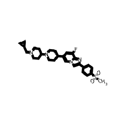 CS(=O)(=O)c1ccc(-c2cn3cc(C4CCN(C5CCN(CC6CC6)CC5)CC4)cc(F)c3n2)cc1